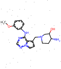 COc1cccc(Nc2ncnn3ccc(CN4CCC(N)C(O)C4)c23)c1